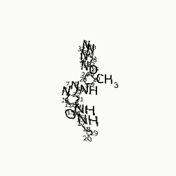 Cc1cc(Nc2ncnc3ccc(NC(=O)NCC4CC4)cc23)ccc1Oc1cc2nncn2cn1